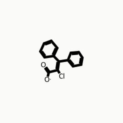 [O]C(=O)C(Cl)=C(c1ccccc1)c1ccccc1